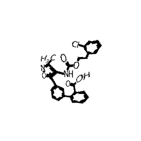 Cc1noc(-c2cccc(-c3ccccc3C(=O)O)c2)c1NC(=O)OCCc1ccccc1Cl